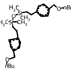 CCCCOCc1ccc(CC[Si](C)(C)O[Si](C)(C)CCc2ccc(COCCCC)cc2)cc1